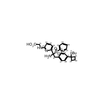 CCCCC1(c2ccc(CC(N)(c3cccc(NCC(=O)O)n3)S(=O)(=O)c3ccccn3)cc2)CCC1